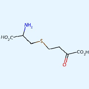 NC(CSCCC(=O)C(=O)O)C(=O)O